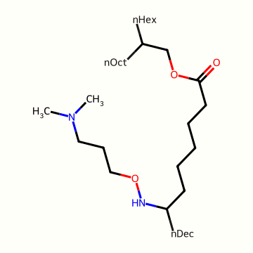 CCCCCCCCCCC(CCCCCC(=O)OCC(CCCCCC)CCCCCCCC)NOCCCN(C)C